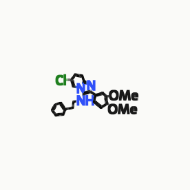 COc1ccc(-c2nc3ccc(Cl)cn3c2NCCc2ccccc2)cc1OC